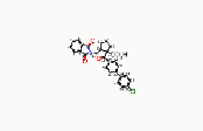 O=C1c2ccccc2C(=O)N1CC1CCCC1(C(=O)O)C(=O)c1ccc(-c2ccc(Cl)cc2)cc1